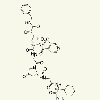 NC(=O)[C@@H](NC(=O)CNC(=O)[C@@H]1CC(=O)CN1C(=O)CNC(=O)[C@H](CCC(=O)C(=O)NCc1ccccc1)NC(=O)c1ccncc1C(=O)O)C1CCCCC1